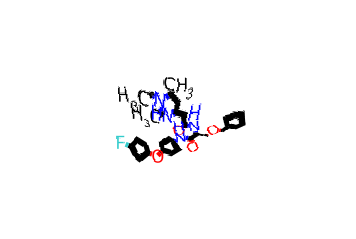 CCN(CC)C(C)CC(=N)CC(=O)N[C@@H](COCc1ccccc1)C(=O)Nc1ccc(Oc2ccc(F)cc2)cc1